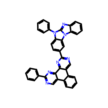 c1ccc(-c2ncc3c4ccccc4c4cnc(-c5ccc6c(c5)n5c7ccccc7nc5n6-c5ccccc5)nc4c3n2)cc1